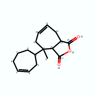 CC1(C2CC=CCCC2)CC=CCC2C(=O)OC(=O)C21